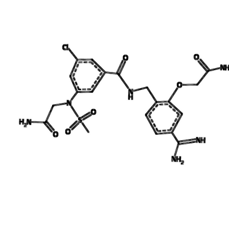 CS(=O)(=O)N(CC(N)=O)c1cc(Cl)cc(C(=O)NCc2ccc(C(=N)N)cc2OCC(N)=O)c1